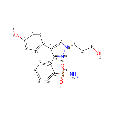 COc1ccc(-c2cn(CCCO)nc2-c2ccccc2S(N)(=O)=O)cc1